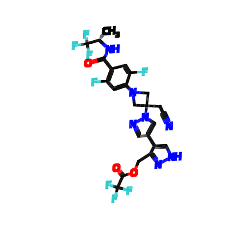 C[C@H](NC(=O)c1cc(F)c(N2CC(CC#N)(n3cc(-c4c[nH]nc4COC(=O)C(F)(F)F)cn3)C2)cc1F)C(F)(F)F